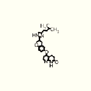 CC(C)CCc1c[nH]c(C2COc3ccc(Oc4ccnc5c4CCC(=O)N5)cc3C2)n1